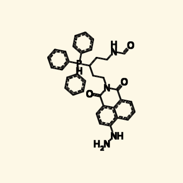 NNc1ccc2c3c(cccc13)C(=O)N(CCC(CCNC=O)[PH](c1ccccc1)(c1ccccc1)c1ccccc1)C2=O